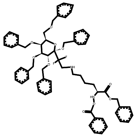 O=C(ON[C@@H](CCCCNCC(F)(F)[C@]1(OCc2ccccc2)O[C@H](COCc2ccccc2)[C@H](OCc2ccccc2)[C@H](OCc2ccccc2)[C@H]1OCc1ccccc1)C(=O)OCc1ccccc1)c1ccccc1